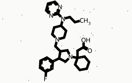 CCCN(c1ncccn1)C1CCN(CC2CN(C3(CC(=O)O)CCCCC3)CC2c2cccc(F)c2)CC1